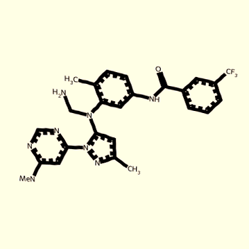 CNc1cc(-n2nc(C)cc2N(CN)c2cc(NC(=O)c3cccc(C(F)(F)F)c3)ccc2C)ncn1